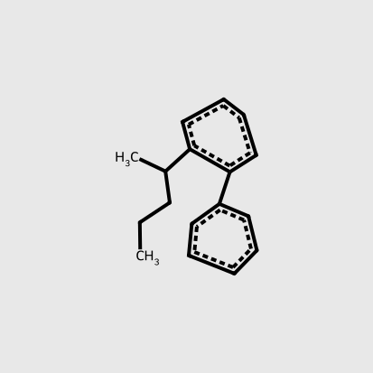 CCCC(C)c1ccccc1-c1ccccc1